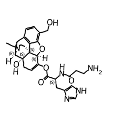 CN1CC[C@]23c4c5ccc(CO)c4O[C@H]2C(OC(=O)[C@H](Cc2c[nH]cn2)NC(=O)CCN)=CC[C@@]3(O)[C@H]1C5